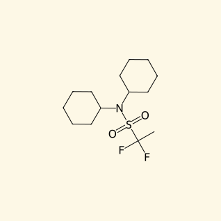 CC(F)(F)S(=O)(=O)N(C1CCCCC1)C1CCCCC1